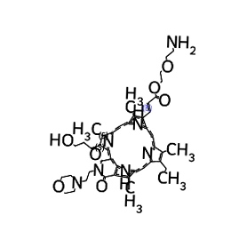 CCC1=C(C)c2cc3[nH]c(cc4nc(c5c6[nH]c(cc1n2)c(C)c6C(=O)N(CCN1CCOCC1)C5=O)[C@@H](CCCO)[C@@H]4C)c(C)c3/C=C/C(=O)OCCOCCN